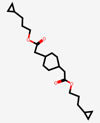 O=C(CC1CCC(CC(=O)OCCCC2CC2)CC1)OCCCC1CC1